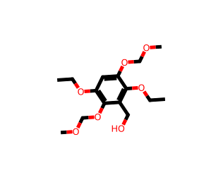 CCOc1cc(OCOC)c(OCC)c(CO)c1OCOC